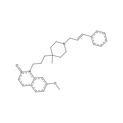 COc1ccc2ccc(=O)n(CCCC3(C)CCN(C/C=C/c4ccccc4)CC3)c2c1